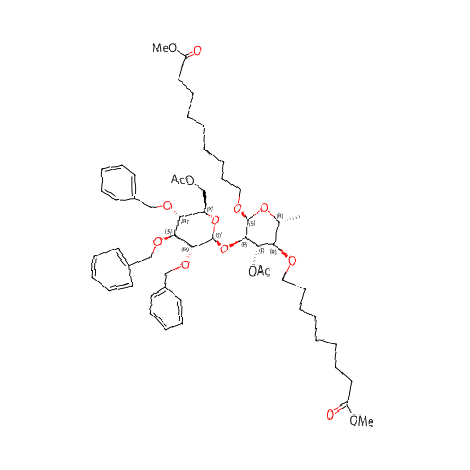 COC(=O)CCCCCCCCO[C@H]1O[C@H](C)[C@@H](OCCCCCCCCC(=O)OC)[C@H](OC(C)=O)[C@H]1O[C@@H]1O[C@H](COC(C)=O)[C@@H](OCc2ccccc2)[C@H](OCc2ccccc2)[C@H]1OCc1ccccc1